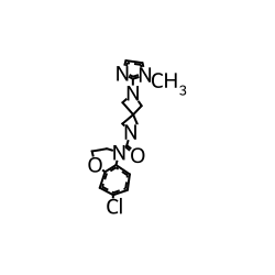 Cn1ccnc1N1CC2(CN(C(=O)N3CCOc4cc(Cl)ccc43)C2)C1